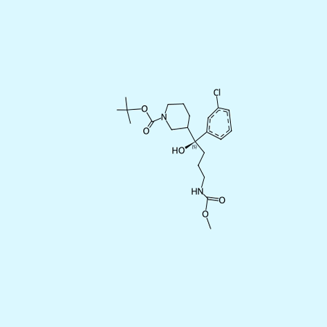 COC(=O)NCCC[C@@](O)(c1cccc(Cl)c1)C1CCCN(C(=O)OC(C)(C)C)C1